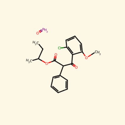 CCC(C)OC(=O)C(C(=O)c1c(Cl)cccc1OC)c1ccccc1.O=[PH3]